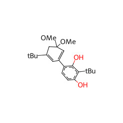 COC1(OC)C=C(c2ccc(O)c(C(C)(C)C)c2O)C=C(C(C)(C)C)C1